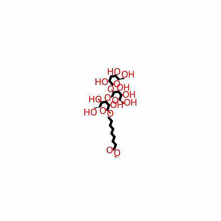 COC(=O)CCCCCCCCO[C@H]1O[C@H](CO)[C@@H](O)[C@H](O[C@@H]2O[C@H](CO)[C@@H](O)[C@H](O)[C@H]2O[C@@H]2O[C@H](CO)[C@@H](O)C[C@H]2O)[C@H]1O